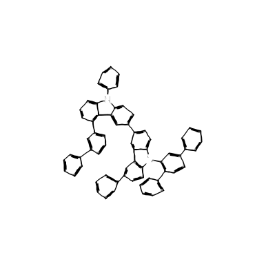 c1ccc(-c2cccc(-c3cccc4c3c3cc(-c5ccc6c(c5)c5cc(-c7ccccc7)ccc5n6-c5cc(-c6ccccc6)ccc5-c5ccccc5)ccc3n4-c3ccccc3)c2)cc1